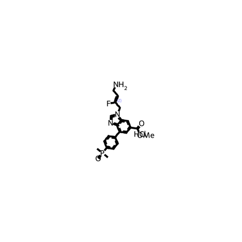 COC(=O)c1cc(-c2ccc(P(C)(C)=O)cc2)c2ncn(C/C(F)=C/CN)c2c1.Cl